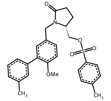 COc1ccc(CN2C(=O)CC[C@@H]2COS(=O)(=O)c2ccc(C)cc2)cc1-c1cccc(C)c1